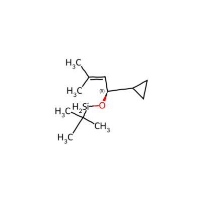 CC(C)=C[C@H](O[SiH2]C(C)(C)C)C1CC1